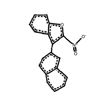 O=[N+]([O-])c1oc2ccccc2c1-c1ccc2ccccc2c1